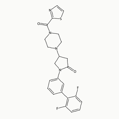 O=C(c1nccs1)N1CCN(C2CC(=O)N(c3cccc(-c4c(F)cccc4F)c3)C2)CC1